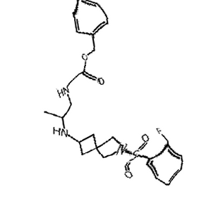 CC(CNC(=O)OCc1ccccc1)NC1CC2(C1)CN(S(=O)(=O)c1ccccc1F)C2